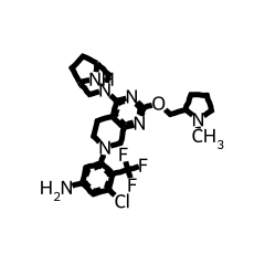 CN1CCCC1COc1nc2c(c(N3CC4CCC(C3)N4)n1)CCN(c1cc(N)cc(Cl)c1C(F)(F)F)C2